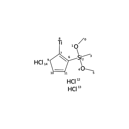 CO[Si](C)(OC)C1=[C]([Ti])CC=C1.Cl.Cl.Cl